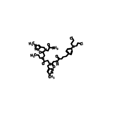 CCCN(CC(=O)N(CC(N)=O)Cc1cn(C)nn1)C(=O)CN(Cc1cn(C)nn1)C(=O)CNC(=O)CCCc1ccc(N(CCCl)CCCl)cc1